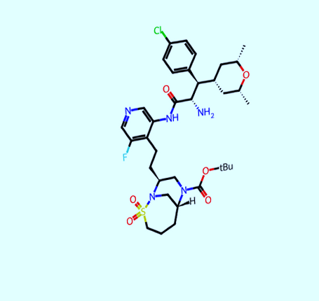 C[C@@H]1C[C@H]([C@H](c2ccc(Cl)cc2)[C@H](N)C(=O)Nc2cncc(F)c2CC[C@H]2CN(C(=O)OC(C)(C)C)[C@@H]3CCCS(=O)(=O)N2C3)C[C@H](C)O1